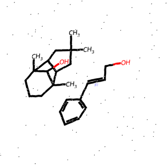 CC1(C)CC2C(C1)C1(C)CCCC2(C)C1O.OC/C=C/c1ccccc1